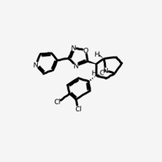 CN1C2CC[C@@H]1[C@H](c1nc(-c3ccncc3)no1)[C@@H](c1ccc(Cl)c(Cl)c1)C2